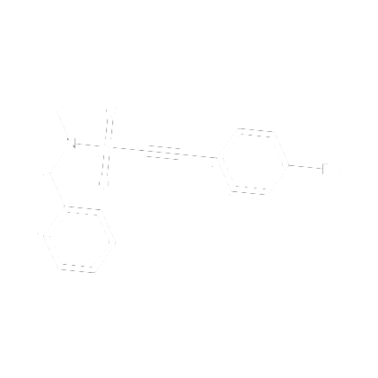 CN(Cc1ccccc1)S(=O)(=O)C#Cc1ccc(F)cc1